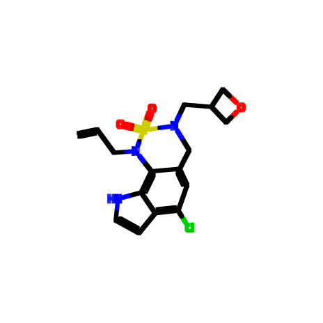 C=CCN1c2c(cc(Cl)c3cc[nH]c23)CN(CC2COC2)S1(=O)=O